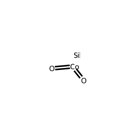 [O]=[Co]=[O].[Si]